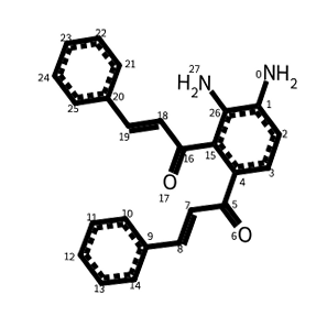 Nc1ccc(C(=O)C=Cc2ccccc2)c(C(=O)C=Cc2ccccc2)c1N